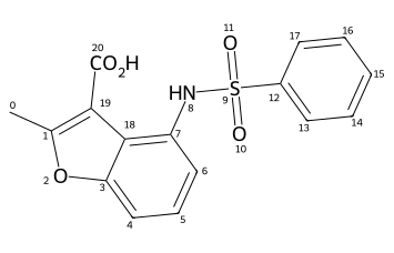 Cc1oc2cccc(NS(=O)(=O)c3ccccc3)c2c1C(=O)O